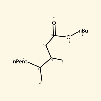 CCCCCC(C)C(C)CC(=O)OCCCC